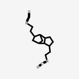 O=C=NCCC1CC2CC1C1CCC(CCN=C=O)C21